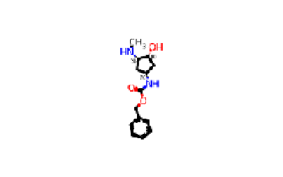 CN[C@H]1C[C@@H](NC(=O)OCc2ccccc2)C[C@H]1O